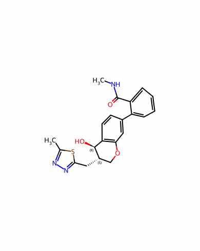 CNC(=O)c1ccccc1-c1ccc2c(c1)OC[C@H](Cc1nnc(C)s1)[C@H]2O